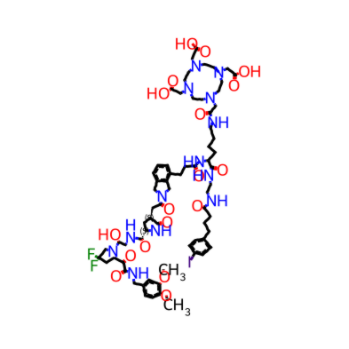 COc1ccc(CNC(=O)C(=O)C2CC(F)(F)CN2C(O)CNC(=O)[C@@H]2C[C@@H](CC(=O)N3Cc4cccc(CCC(=O)NC(CCCCNC(=O)CN5CCN(CC(=O)O)CCN(CC(=O)O)CCN(CC(=O)O)CC5)C(=O)NCCNC(=O)CCCc5ccc(I)cc5)c4C3)C(=O)N2)cc1OC